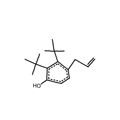 C=CCc1ccc(O)c(C(C)(C)C)c1C(C)(C)C